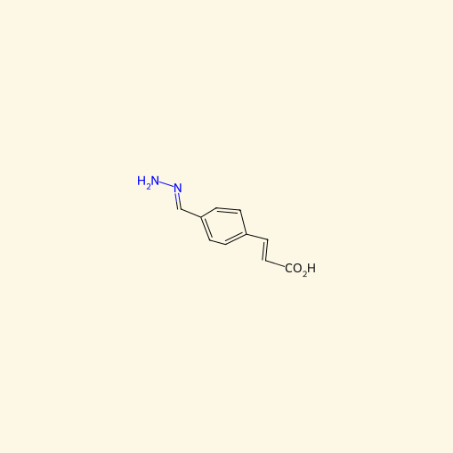 N/N=C/c1ccc(/C=C/C(=O)O)cc1